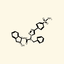 NS(=O)(=O)c1ccc(-c2cn([C@@H](Cc3ccccc3)C(=O)N[C@@H]3c4ccccc4C[C@@H]3O)nn2)cc1